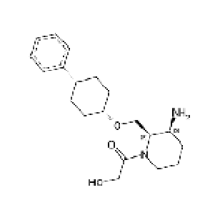 N[C@H]1CCCN(C(=O)CO)[C@H]1CO[C@H]1CC[C@@H](c2ccccc2)CC1